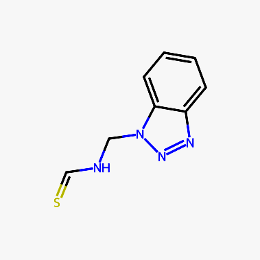 S=CNCn1nnc2ccccc21